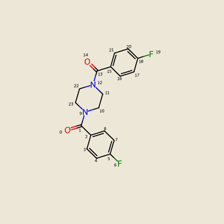 O=C(c1ccc(F)cc1)N1CCN(C(=O)c2ccc(F)cc2)CC1